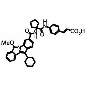 COC1c2ccccc2-c2c(C3CCCCC3)c3ccc(C(=O)NC4(C(=O)Nc5ccc(/C=C/C(=O)O)cc5)CCCC4)cc3n21